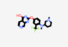 CN1CCCC(N(C)c2ccc(Oc3nc(O)c4ccncc4n3)cc2C(F)(F)F)C1